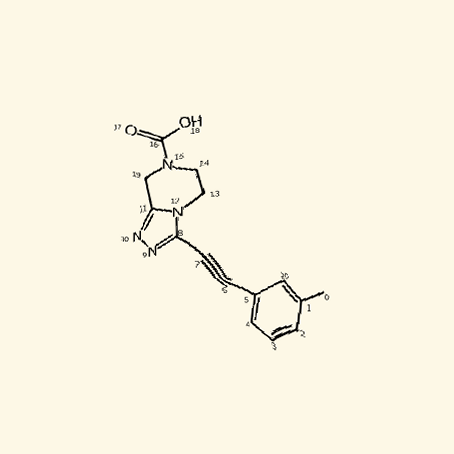 Cc1cccc(C#Cc2nnc3n2CCN(C(=O)O)C3)c1